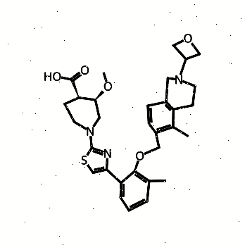 CO[C@H]1CN(c2nc(-c3cccc(C)c3OCc3ccc4c(c3C)CCN(C3COC3)C4)cs2)CC[C@H]1C(=O)O